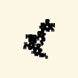 CCO[C@@H]1C[C@H](n2cnc3c(=O)[nH]c(C)nc32)O[C@@H]1COP(=O)(O)O[C@@H]1C[C@H](n2cnc(N)nc2=O)O[C@@H]1CC